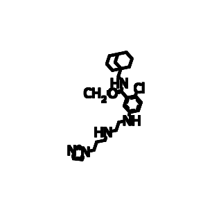 O=C(NCC12CCCC(CCC1)C2)c1cc(NCCNCCCn2ccnc2)ccc1Cl.[CH2]